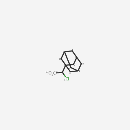 O=C(O)C(Cl)C12CC3CC(CC(C3)C1)C2